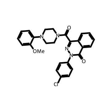 COc1ccccc1N1CCN(C(=O)c2nn(-c3ccc(Cl)cc3)c(=O)c3ccccc23)CC1